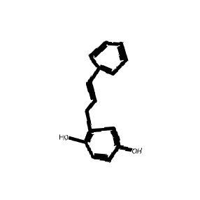 Oc1ccc(O)c(C/C=C/c2ccccc2)c1